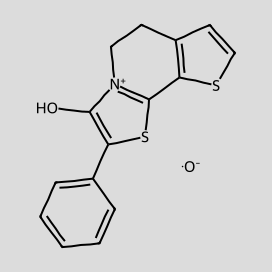 Oc1c(-c2ccccc2)sc2[n+]1CCc1ccsc1-2.[O-]